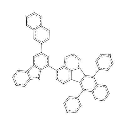 c1ccc2cc(-c3cc(-c4ccc5c6c(cccc46)-c4c-5c(-c5ccncc5)c5ccccc5c4-c4ccncc4)c4sc5ccccc5c4c3)ccc2c1